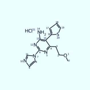 COCCc1nc(-n2ccnc2)nc(N)c1-c1cccs1.Cl